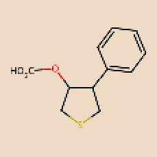 O=C(O)OC1CSCC1c1ccccc1